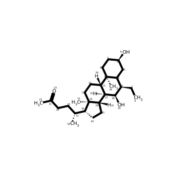 CC[C@@H]1C2C[C@H](O)CC[C@]2(C)[C@H]2CC[C@]3(C)[C@@H]([C@H](C)CCC(C)=O)CC[C@H]3[C@@H]2[C@@H]1O